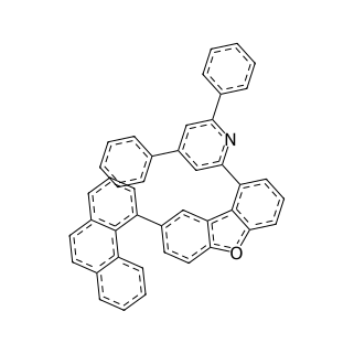 c1ccc(-c2cc(-c3ccccc3)nc(-c3cccc4oc5ccc(-c6cccc7ccc8ccccc8c67)cc5c34)c2)cc1